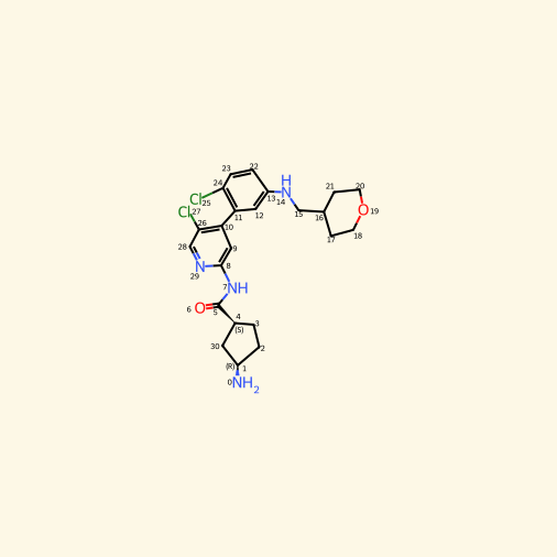 N[C@@H]1CC[C@H](C(=O)Nc2cc(-c3cc(NCC4CCOCC4)ccc3Cl)c(Cl)cn2)C1